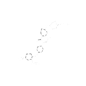 COc1cc([N+](=O)[O-])ccc1Oc1ccc(N(CC(C)C)C(=O)c2ccc(OC3CCN(C(=O)O)CC3)cc2)cc1